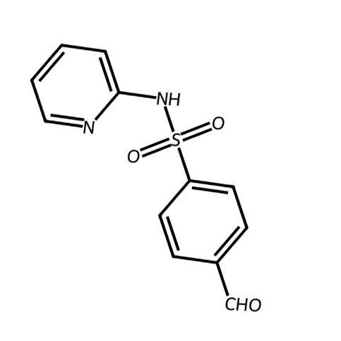 O=Cc1ccc(S(=O)(=O)Nc2ccccn2)cc1